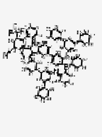 N#Cc1ccc(-c2ccccc2-n2c3ccccc3c3cc(-c4cc5c6c(c4)N(c4cc(-c7ccccc7)cc(-c7ccccc7)c4)c4ccccc4B6c4ccccc4N5c4cc(-c5ccccc5)cc(-c5ccccc5)c4)ccc32)c(C(F)(F)F)c1